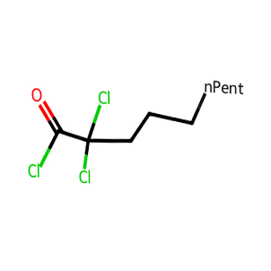 CCCCCCCCC(Cl)(Cl)C(=O)Cl